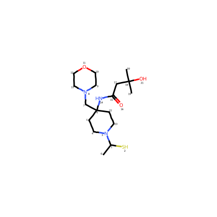 CC(S)N1CCC(CN2CCOCC2)(NC(=O)CC(C)(C)O)CC1